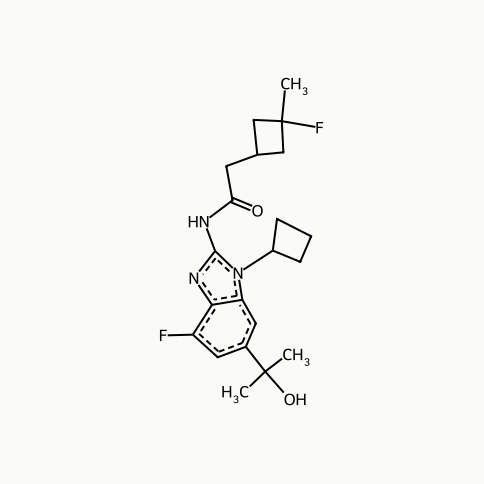 CC1(F)CC(CC(=O)Nc2nc3c(F)cc(C(C)(C)O)cc3n2C2CCC2)C1